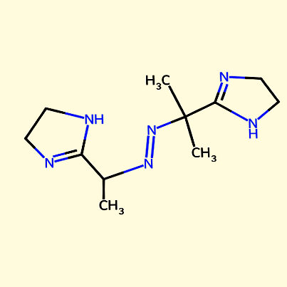 CC(N=NC(C)(C)C1=NCCN1)C1=NCCN1